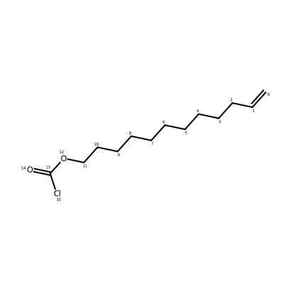 C=CCCCCCCCCCCOC(=O)Cl